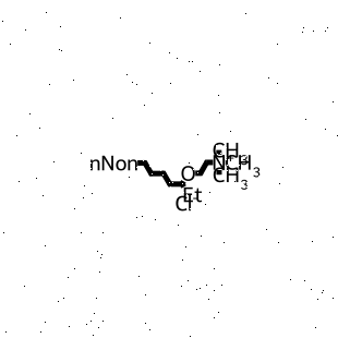 CCCCCCCCCCCCCC(CC)OCC[N+](C)(C)C.[Cl-]